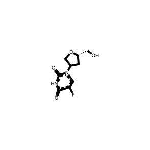 O=c1[nH]c(=O)n(C2CO[C@H](CO)C2)cc1F